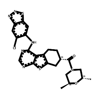 C[C@H]1CN(C(=O)[C@H]2CCc3c(sc4ncnc(Nc5cc6snnc6cc5Cl)c34)C2)C[C@H](C)O1